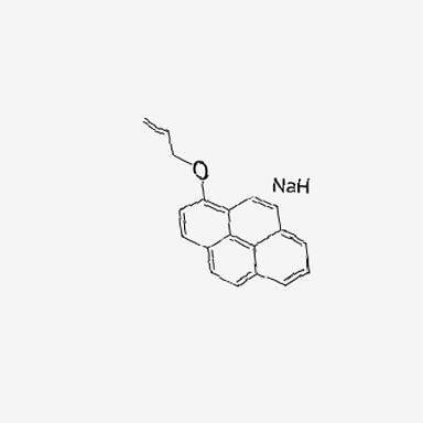 C=CCOc1ccc2ccc3cccc4ccc1c2c34.[NaH]